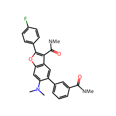 CNC(=O)c1cccc(-c2cc3c(C(=O)NC)c(-c4ccc(F)cc4)oc3cc2N(C)C)c1